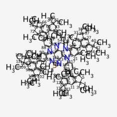 CCC1(CC)CC(C)(C)c2c1cc1c(c2-c2ccc(N(c3ccc(-c4c5c(cc6c4C(C)(C)CC6(CC)CC)C(CC)(CC)CC5(C)C)cc3)c3c4nccnc4c(N(c4ccc(-c5c6c(cc7c5C(C)(C)CC7(CC)CC)C(CC)(CC)CC6(C)C)cc4)c4ccc(-c5c6c(cc7c5C(C)(C)CC7(CC)CC)C(CC)(CC)CC6(C)C)cc4)c4nsnc34)cc2)C(C)(C)CC1(CC)CC